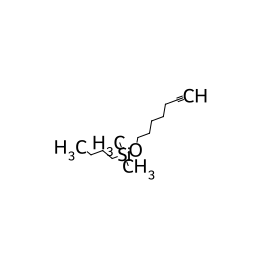 C#CCCCCCO[Si](C)(C)CCCC